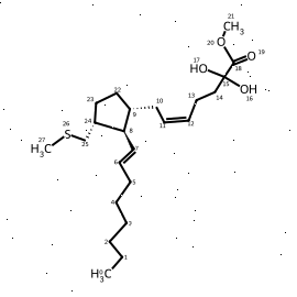 CCCCCC/C=C/[C@@H]1[C@@H](C/C=C\CCC(O)(O)C(=O)OC)CC[C@H]1CSC